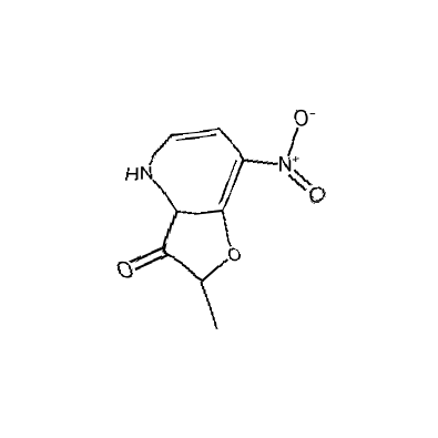 CC1OC2=C([N+](=O)[O-])C=CNC2C1=O